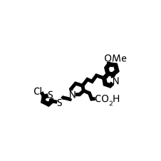 COc1ccc2nccc(CCCC3CCN(CCSc4ccc(Cl)s4)CC3CCC(=O)O)c2c1